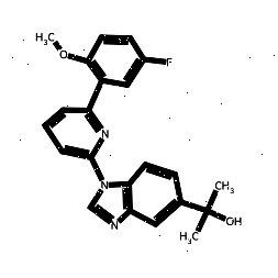 COc1ccc(F)cc1-c1cccc(-n2cnc3cc(C(C)(C)O)ccc32)n1